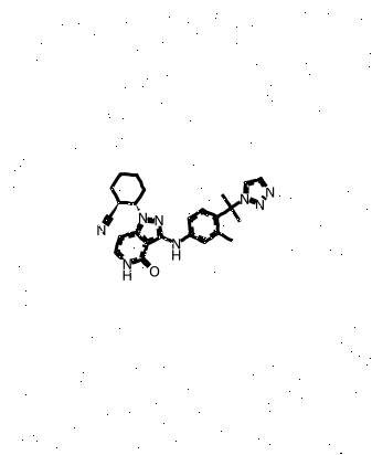 Cc1cc(Nc2nn([C@H]3CCCC[C@@H]3C#N)c3cc[nH]c(=O)c23)ccc1C(C)(C)n1ccnn1